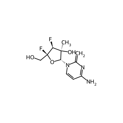 C=C1N=C(N)C=CN1[C@@H]1O[C@](F)(CO)[C@@H](F)[C@@]1(C)O